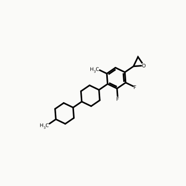 Cc1cc(C2CO2)c(F)c(F)c1C1CCC(C2CCC(C)CC2)CC1